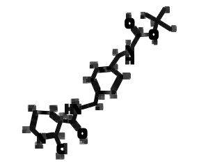 CC(C)(C)OC(=O)NCc1ccc(CNC(=O)c2cccnc2Cl)cc1